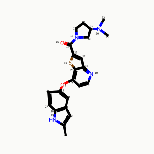 Cc1cc2cc(Oc3ccnc4cc(C(=O)N5CC[C@@H](N(C)C)C5)sc34)ccc2[nH]1